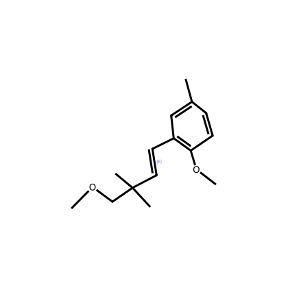 COCC(C)(C)/C=C/c1cc(C)ccc1OC